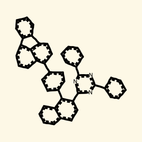 c1ccc(-c2nc(-c3ccccc3)nc(-c3ccc4ccccc4c3-c3ccc(-c4ccc5c6c(cccc46)-c4ccccc4-5)cc3)n2)cc1